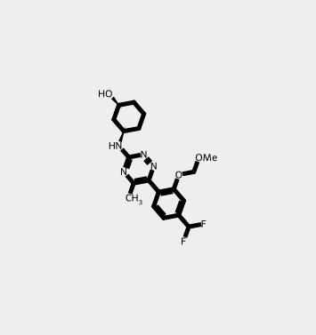 COCOc1cc(C(F)F)ccc1-c1nnc(N[C@@H]2CCC[C@H](O)C2)nc1C